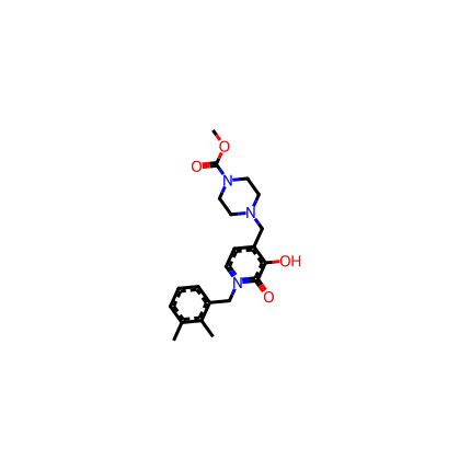 COC(=O)N1CCN(Cc2ccn(Cc3cccc(C)c3C)c(=O)c2O)CC1